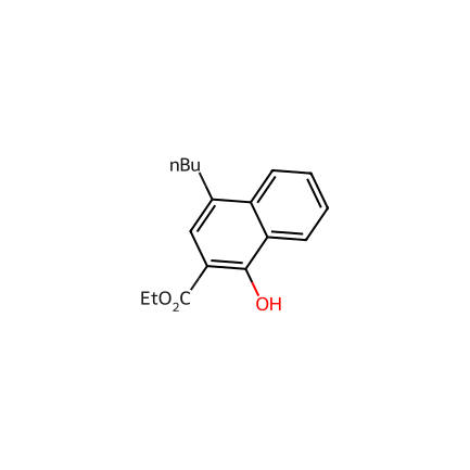 CCCCc1cc(C(=O)OCC)c(O)c2ccccc12